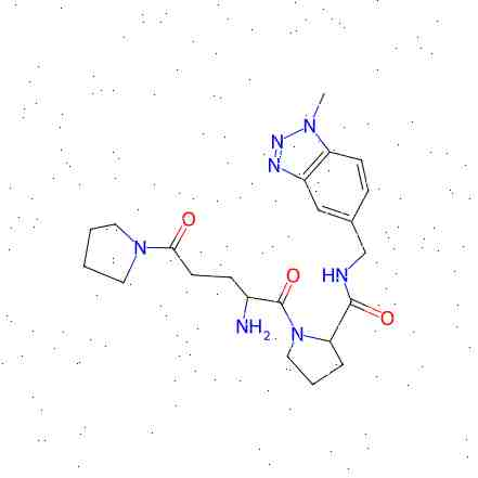 Cn1nnc2cc(CNC(=O)C3CCCN3C(=O)C(N)CCC(=O)N3CCCC3)ccc21